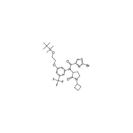 CC(C)(C)[Si](C)(C)OCCOc1cc(N(C(=O)c2csc(Br)n2)C2CCN(C3CCC3)C2=O)cc(C(F)(F)F)c1